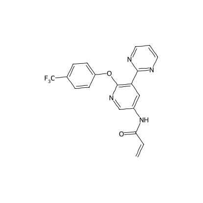 C=CC(=O)Nc1cnc(Oc2ccc(C(F)(F)F)cc2)c(-c2ncccn2)c1